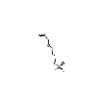 COCOCCCOS(C)(=O)=O